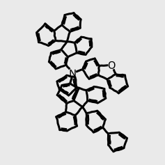 c1ccc(-c2ccc(C3(c4ccccc4-c4ccccc4)c4ccccc4-c4ccc(N(c5ccc6oc7ccccc7c6c5)c5cccc6c5-c5ccccc5C65c6ccccc6-c6ccccc65)cc43)cc2)cc1